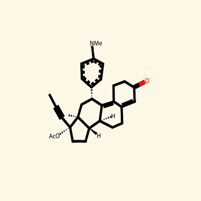 CC#C[C@]1(OC(C)=O)CC[C@H]2[C@@H]3CCC4=CC(=O)CCC4=C3[C@@H](c3ccc(NC)cc3)C[C@@]21C